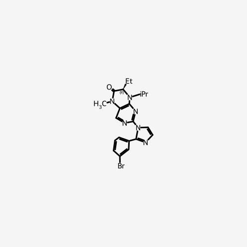 CC[C@@H]1C(=O)N(C)c2cnc(-n3ccnc3-c3cccc(Br)c3)nc2N1C(C)C